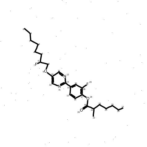 CCCCCCC(F)COc1cnc(-c2ccc(OC(=O)C(C)CCCCC)c(F)c2)nc1